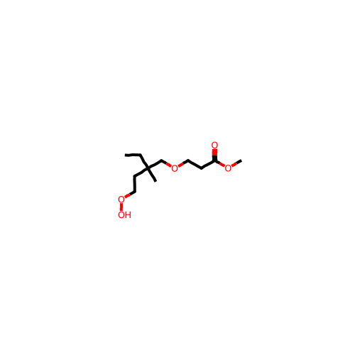 CCC(C)(CCOO)COCCC(=O)OC